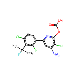 CC(C)(F)c1c(Cl)ccc(-c2cc(N)c(Cl)c(OC(=O)O)n2)c1Cl